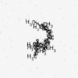 CCCCCCC(C)(C)c1ccc(-c2ccc(-c3ccc(-c4ccc(C5=c6cc7c(cc6C(=S)N5C)=C(C(C)(CC)CCCCC)N(C)C7=S)nc4)s3)s2)cn1